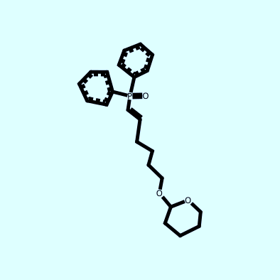 O=P(C=CCCCCOC1CCCCO1)(c1ccccc1)c1ccccc1